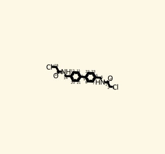 O=C(CCl)NCc1ccc(-c2ccc(CNC(=O)CCl)cc2)cc1